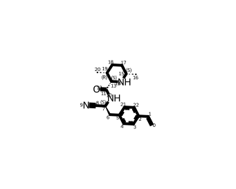 C=Cc1ccc(C[C@@H](C#N)NC(=O)[C@H]2N[C@@H](C)CC[C@H]2C)cc1